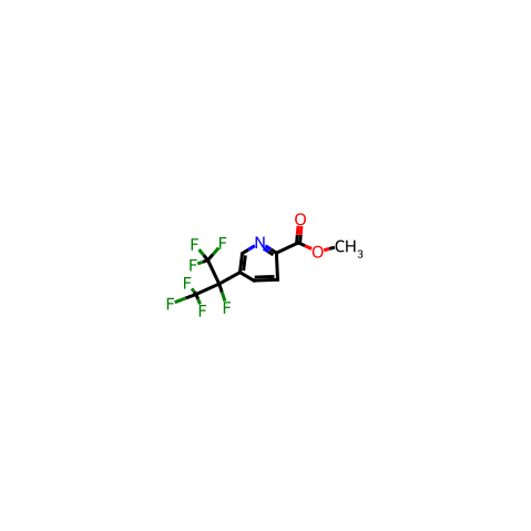 COC(=O)c1ccc(C(F)(C(F)(F)F)C(F)(F)F)cn1